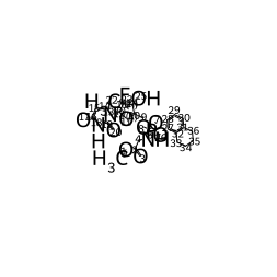 COC(=O)CNP(=O)(OC[C@H]1O[C@@H](n2ccc(=O)[nH]c2=O)[C@](C)(F)[C@@H]1O)Oc1cccc2c1CCCC2